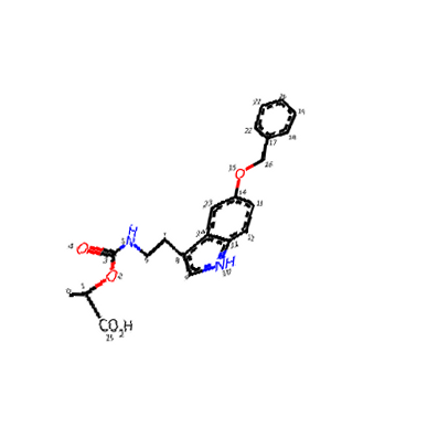 CC(OC(=O)NCCc1c[nH]c2ccc(OCc3ccccc3)cc12)C(=O)O